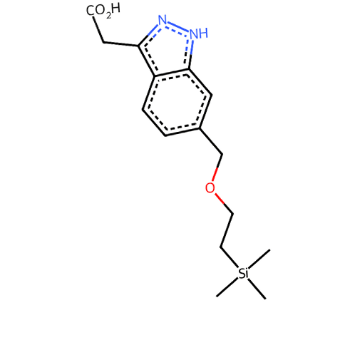 C[Si](C)(C)CCOCc1ccc2c(CC(=O)O)n[nH]c2c1